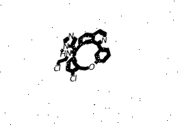 Cn1cncc1C1(NCCCl)c2ccc(Cl)c(c2)COc2cccc(c2)-c2nccc3ccc1cc23